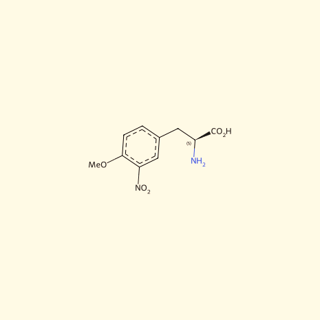 COc1ccc(C[C@H](N)C(=O)O)cc1[N+](=O)[O-]